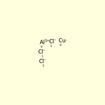 [Al+3].[Cl-].[Cl-].[Cl-].[Cu]